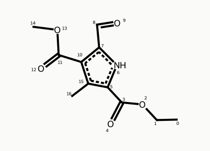 CCOC(=O)c1[nH]c(C=O)c(C(=O)OC)c1C